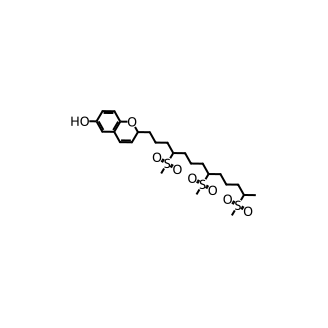 CC(CCCC(CCCC(CCCC1C=Cc2cc(O)ccc2O1)S(C)(=O)=O)S(C)(=O)=O)S(C)(=O)=O